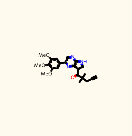 C#CCC(C)(C)C(=O)c1c[nH]c2ncc(-c3cc(OC)c(OC)c(OC)c3)nc12